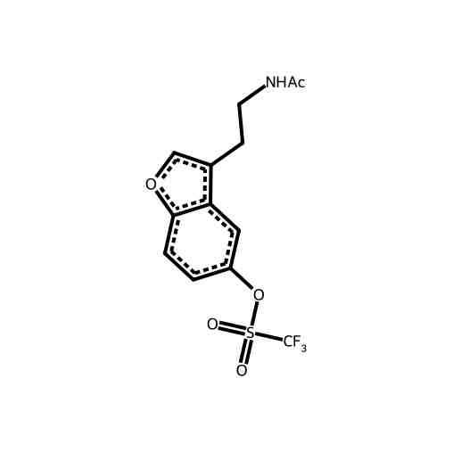 CC(=O)NCCc1coc2ccc(OS(=O)(=O)C(F)(F)F)cc12